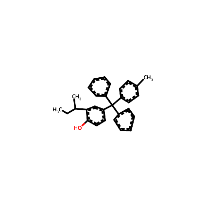 CCC(C)c1cc(C(c2ccccc2)(c2ccccc2)c2ccc(C)cc2)ccc1O